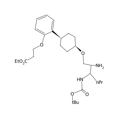 CCCC(NC(=O)OC(C)(C)C)C(N)CO[C@H]1CC[C@@H](c2ccccc2OCCC(=O)OCC)CC1